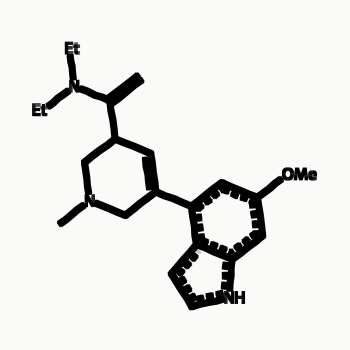 C=C(C1C=C(c2cc(OC)cc3[nH]ccc23)CN(C)C1)N(CC)CC